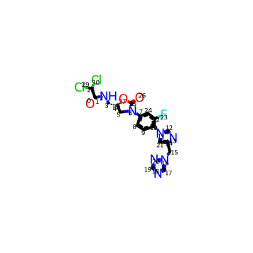 O=C(NC[C@H]1CN(c2ccc(-n3cnc(Cn4cncn4)c3)c(F)c2)C(=O)O1)C(Cl)Cl